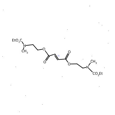 CCOC(=O)N(C)CCOC(=O)/C=C/C(=O)OCCN(C)C(=O)OCC